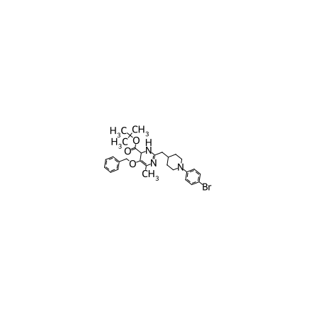 CC1=C(OCc2ccccc2)C(C(=O)OC(C)(C)C)NC(CC2CCN(c3ccc(Br)cc3)CC2)=N1